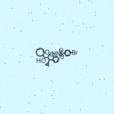 O=C1OC2=CC=CCCCC2C(O)C1C(c1cccc(NS(=O)(=O)c2ccc(Br)cc2)c1)C1CC1